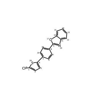 Clc1ccc(-c2ccc(-c3nc4ccccc4o3)cc2)s1